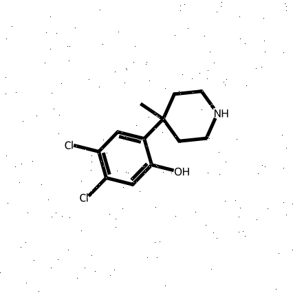 CC1(c2cc(Cl)c(Cl)cc2O)CCNCC1